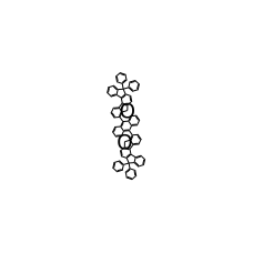 c1ccc(C2(c3ccccc3)c3ccccc3-c3c2ccc2oc4c(-c5c6ccccc6c(-c6cccc7c6oc6ccc8c(c67)-c6ccccc6C8(c6ccccc6)c6ccccc6)c6ccccc56)cccc4c32)cc1